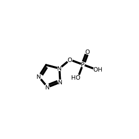 O=P(O)(O)On1cnnn1